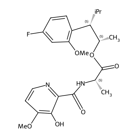 COc1cc(F)ccc1[C@H](C(C)C)[C@H](C)OC(=O)[C@H](C)NC(=O)c1nccc(OC)c1O